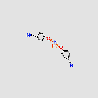 N#Cc1ccc(OP=NPOc2ccc(C#N)cc2)cc1